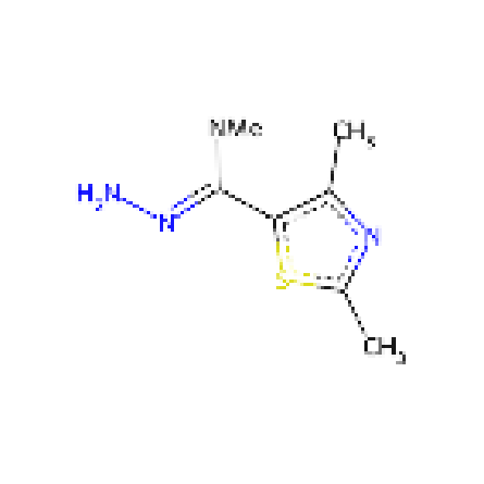 CN/C(=N\N)c1sc(C)nc1C